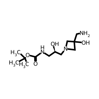 CC(C)(C)OC(=O)NC[C@@H](O)CN1CC(O)(CN)C1